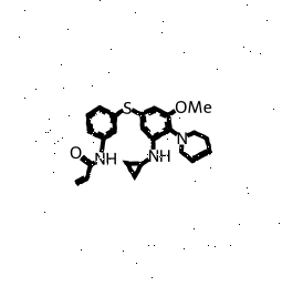 C=CC(=O)Nc1cccc(Sc2cc(NC3CC3)c(N3CC=CCC3)c(OC)c2)c1